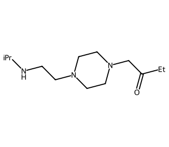 CCC(=O)CN1CCN(CCNC(C)C)CC1